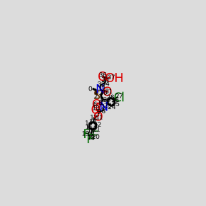 C=c1s/c(=C2\C(=O)N(CC(=O)OCc3ccc(C(F)(F)F)cc3)c3ccc(Cl)cc32)c(=O)n1CCC(=O)O